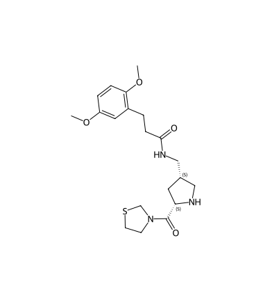 COc1ccc(OC)c(CCC(=O)NC[C@@H]2CN[C@H](C(=O)N3CCSC3)C2)c1